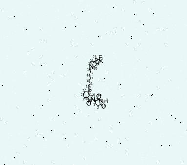 O=C1CCC(N2Cc3c(SCCCCCCCN4CCC5(CC4)CC5(F)F)cccc3C2=O)C(=O)N1